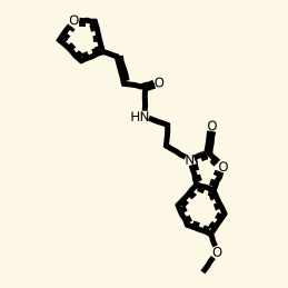 COc1ccc2c(c1)oc(=O)n2CCNC(=O)/C=C/c1ccoc1